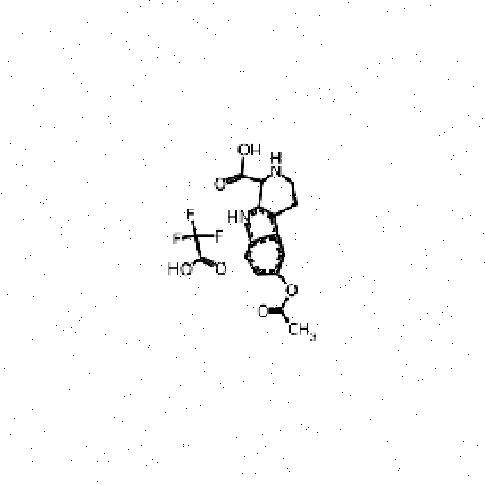 CC(=O)Oc1ccc2[nH]c3c(c2c1)CCNC3C(=O)O.O=C(O)C(F)(F)F